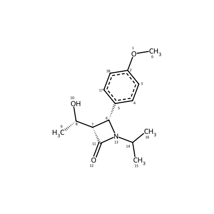 COc1ccc([C@H]2[C@@H]([C@H](C)O)C(=O)N2C(C)C)cc1